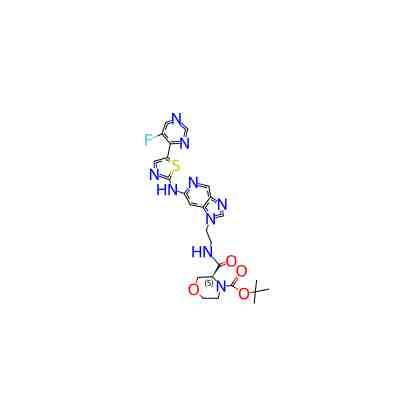 CC(C)(C)OC(=O)N1CCOC[C@H]1C(=O)NCCn1cnc2cnc(Nc3ncc(-c4ncncc4F)s3)cc21